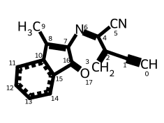 C#CC(=C)/C(C#N)=N\C1=C(C)c2ccccc2C1=O